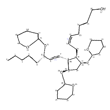 CCCCC[C@@H](/C=C/[C@@H]1[C@@H](C/C=C\CCCCO)[C@@H](OC2CCCCO2)C[C@H]1OC1CCCCO1)OC1CCCCO1